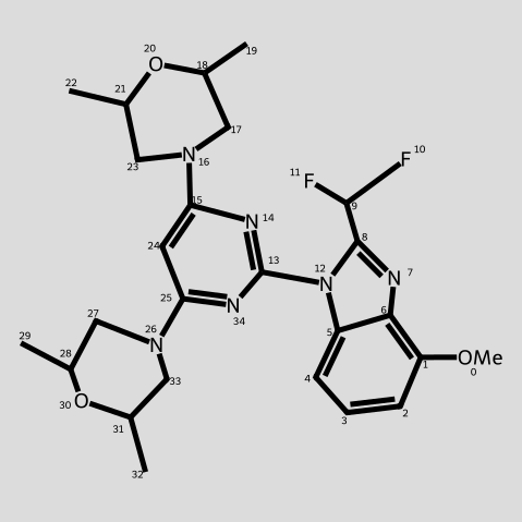 COc1cccc2c1nc(C(F)F)n2-c1nc(N2CC(C)OC(C)C2)cc(N2CC(C)OC(C)C2)n1